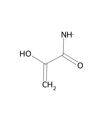 C=C(O)C([NH])=O